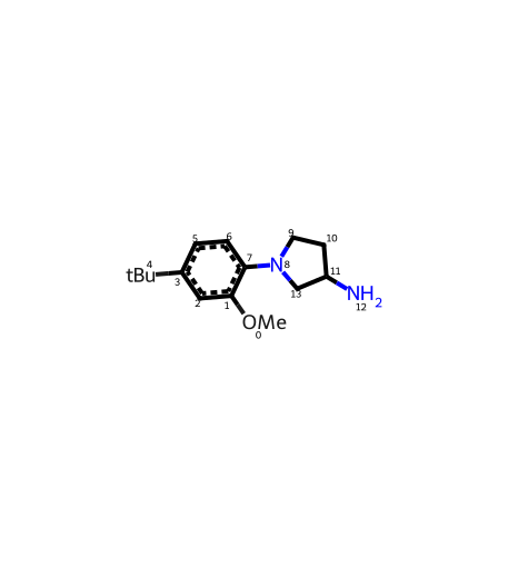 COc1cc(C(C)(C)C)ccc1N1CCC(N)C1